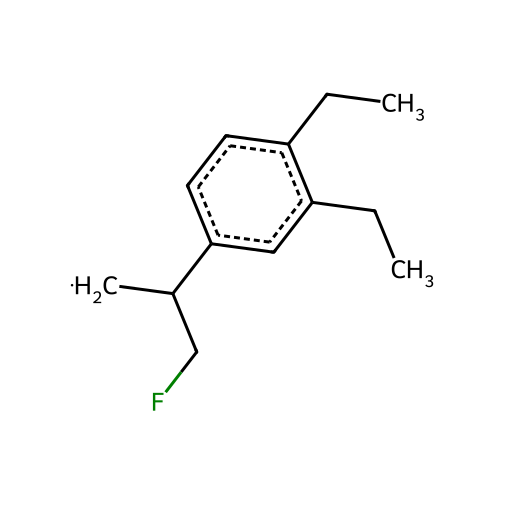 [CH2]C(CF)c1ccc(CC)c(CC)c1